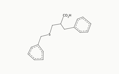 O=C(O)C(CSCc1ccccc1)Cc1ccccc1